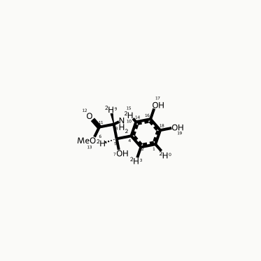 [2H]c1c([2H])c([C@@]([2H])(O)[C@@]([2H])(N)C(=O)OC)c([2H])c(O)c1O